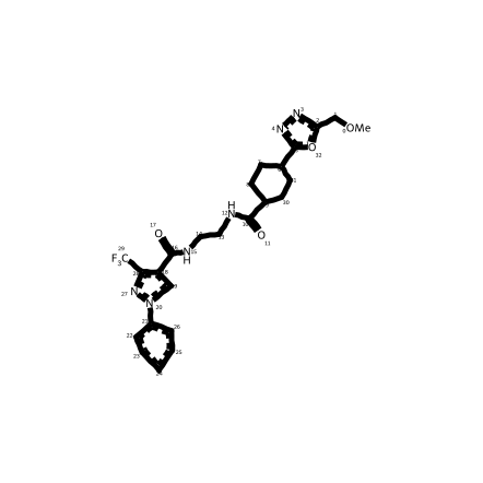 COCc1nnc(C2CCC(C(=O)NCCNC(=O)c3cn(-c4ccccc4)nc3C(F)(F)F)CC2)o1